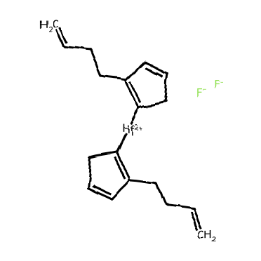 C=CCCC1=[C]([Hf+2][C]2=C(CCC=C)C=CC2)CC=C1.[F-].[F-]